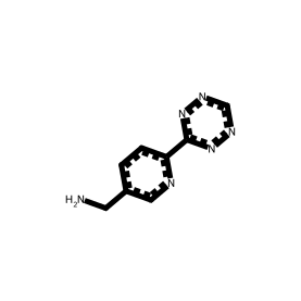 NCc1ccc(-c2nncnn2)nc1